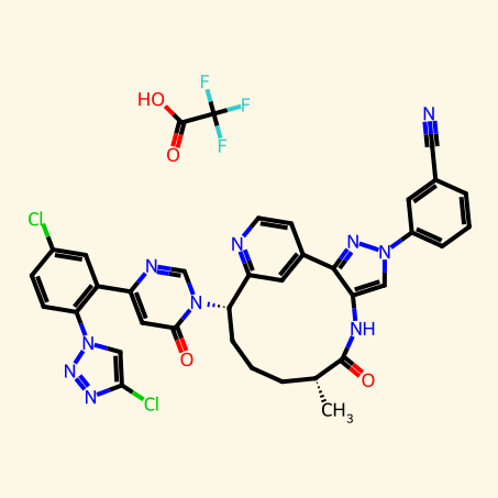 C[C@@H]1CCC[C@H](n2cnc(-c3cc(Cl)ccc3-n3cc(Cl)nn3)cc2=O)c2cc(ccn2)-c2nn(-c3cccc(C#N)c3)cc2NC1=O.O=C(O)C(F)(F)F